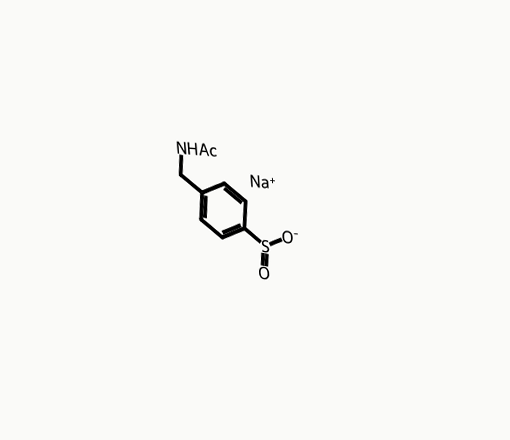 CC(=O)NCc1ccc(S(=O)[O-])cc1.[Na+]